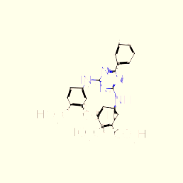 O=C(O)c1ccc(Nc2nc(Nc3ccc(C(=O)O)c(C(=O)O)c3)nc(-c3ccccc3)n2)cc1C(=O)O